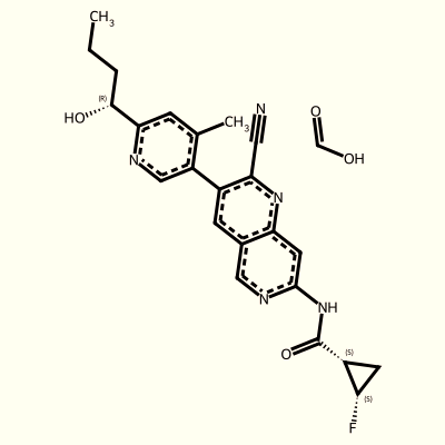 CCC[C@@H](O)c1cc(C)c(-c2cc3cnc(NC(=O)[C@@H]4C[C@@H]4F)cc3nc2C#N)cn1.O=CO